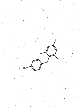 Cc1cc(C)c(Oc2ccc(O)cc2)c(C)c1